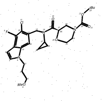 COCCCn1ccc2c(F)c(Cl)c(CN(C(=O)[C@H]3CN(C(=O)OC(C)(C)C)CCO3)C3CC3)cc21